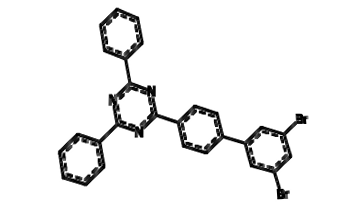 Brc1cc(Br)cc(-c2ccc(-c3nc(-c4ccccc4)nc(-c4ccccc4)n3)cc2)c1